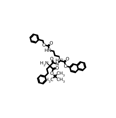 CC(C)(C)OC(=O)[C@](N)(CCc1ccccc1)C(=O)N[C@@H](CCCNC(=O)OCc1ccccc1)C(=O)Oc1ccc2ccccc2c1